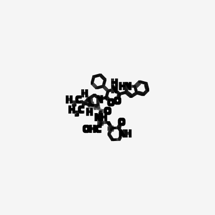 CC1(C)[C@@H]2[C@@H](C(=O)N[C@H](C=O)C[C@@H]3CCCNC3=O)N(C(=O)C(NC(=O)c3cc4ccccc4[nH]3)C3CCCCC3)C[C@@H]21